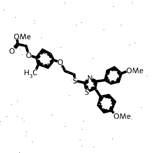 COC(=O)COc1ccc(OCCSc2nc(-c3ccc(OC)cc3)c(-c3ccc(OC)cc3)s2)cc1C